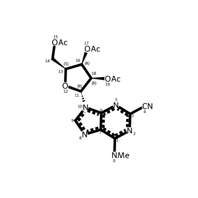 CNc1nc(C#N)nc2c1ncn2[C@@H]1O[C@@H](COC(C)=O)[C@@H](OC(C)=O)[C@H]1OC(C)=O